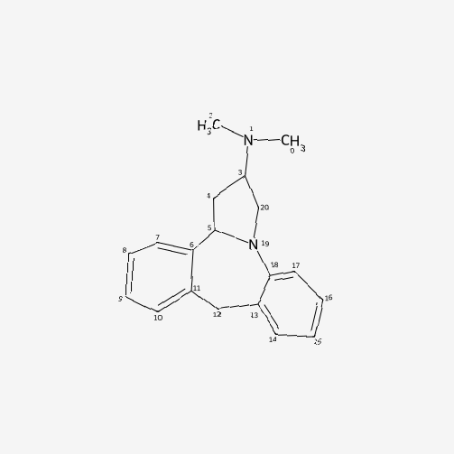 CN(C)C1CC2c3ccccc3Cc3ccccc3N2C1